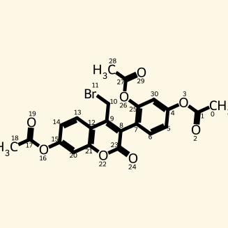 CC(=O)Oc1ccc(-c2c(CBr)c3ccc(OC(C)=O)cc3oc2=O)c(OC(C)=O)c1